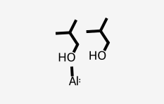 CC(C)CO.CC(C)CO.[CH3][Al]